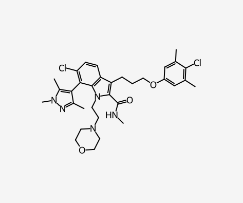 CNC(=O)c1c(CCCOc2cc(C)c(Cl)c(C)c2)c2ccc(Cl)c(-c3c(C)nn(C)c3C)c2n1CCN1CCOCC1